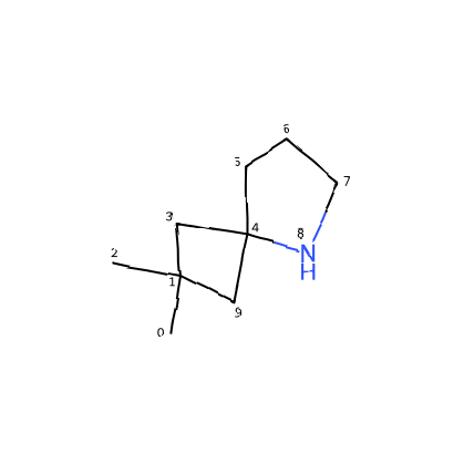 CC1(C)CC2(CCCN2)C1